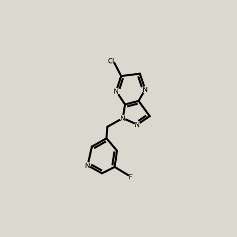 Fc1cncc(Cn2ncc3ncc(Cl)nc32)c1